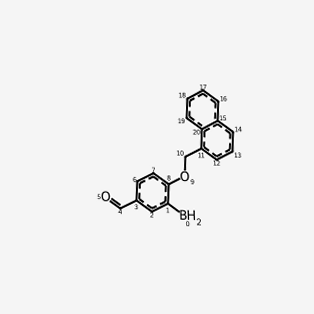 Bc1cc(C=O)ccc1OCc1cccc2ccccc12